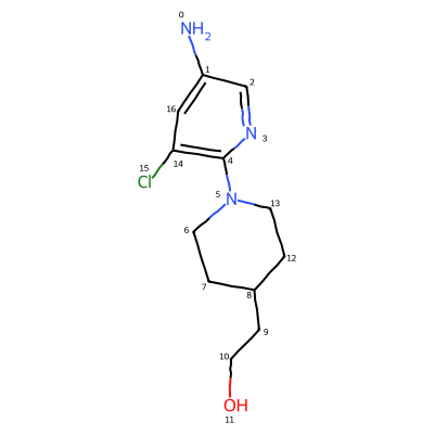 Nc1cnc(N2CCC(CCO)CC2)c(Cl)c1